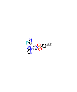 CCc1ccc(S(=O)(=O)N2CCC(n3c(-c4ccncc4F)nc4cccnc43)CC2)cc1